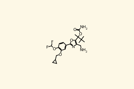 CC(C)(C)C(C)(OC(N)=O)c1oc(-c2ccc(OC(F)F)c(OCC3CC3)c2)nc1CN